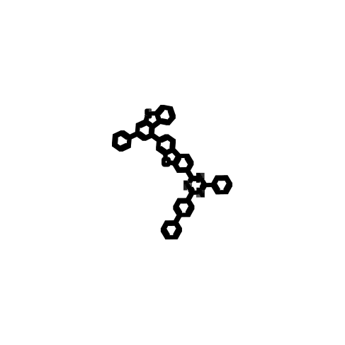 c1ccc(-c2ccc(-c3nc(-c4ccccc4)nc(-c4ccc5c(c4)oc4cc(-c6cc(-c7ccccc7)cc7sc8ccccc8c67)ccc45)n3)cc2)cc1